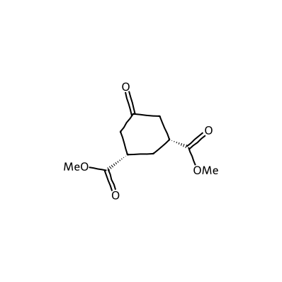 COC(=O)[C@@H]1CC(=O)C[C@H](C(=O)OC)C1